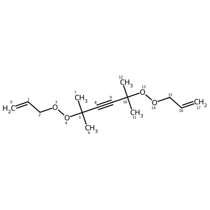 C=CCOOC(C)(C)C#CC(C)(C)OOCC=C